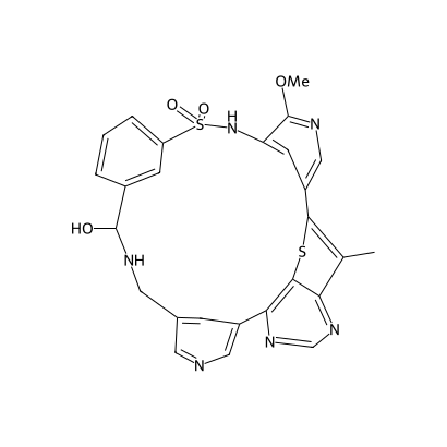 COc1ncc2cc1NS(=O)(=O)c1cccc(c1)C(O)NCc1cncc(c1)-c1ncnc3c(C)c-2sc13